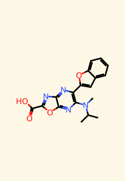 CC(C)N(C)c1nc2oc(C(=O)O)nc2nc1-c1cc2ccccc2o1